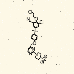 CC(C)(c1ccc(OCc2ccnc(N3CCC(S(C)(=O)=O)CC3)n2)cc1)c1cc(Cl)c(OCCCl)c(C#N)c1